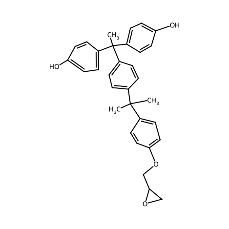 CC(C)(c1ccc(OCC2CO2)cc1)c1ccc(C(C)(c2ccc(O)cc2)c2ccc(O)cc2)cc1